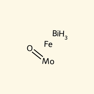 [BiH3].[Fe].[O]=[Mo]